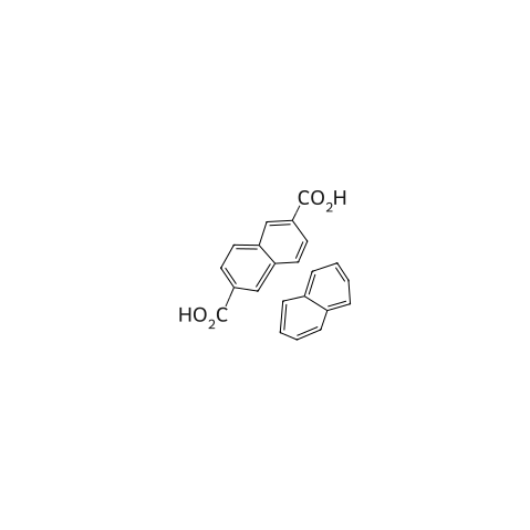 O=C(O)c1ccc2cc(C(=O)O)ccc2c1.c1ccc2ccccc2c1